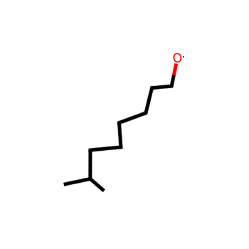 CC(C)CCCCCC[O]